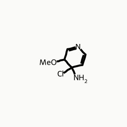 COC1C=NC=CC1(N)Cl